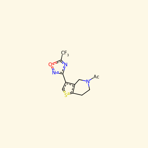 CC(=O)N1CCc2scc(-c3noc(C(F)(F)F)n3)c2C1